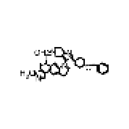 Cn1cc(-c2cc3c(cc2C(F)F)N(c2c4c(nn2C2CCC(OCc5ccccc5)CC2)CCN(C=O)C4)CCC3)cn1